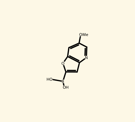 COc1cnc2cc(B(O)O)oc2c1